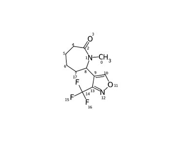 CN1C(=O)CCCCC1c1conc1C(F)(F)F